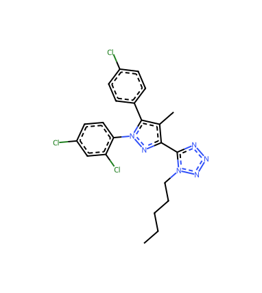 CCCCCn1nnnc1-c1nn(-c2ccc(Cl)cc2Cl)c(-c2ccc(Cl)cc2)c1C